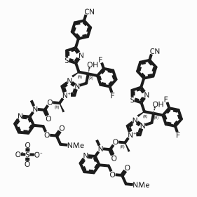 CNCC(=O)OCc1cccnc1N(C)C(=O)O[C@H](C)[n+]1cnn(C[C@](O)(c2cc(F)ccc2F)[C@@H](C)c2nc(-c3ccc(C#N)cc3)cs2)c1.CNCC(=O)OCc1cccnc1N(C)C(=O)O[C@H](C)[n+]1cnn(C[C@](O)(c2cc(F)ccc2F)[C@@H](C)c2nc(-c3ccc(C#N)cc3)cs2)c1.O=S(=O)([O-])[O-]